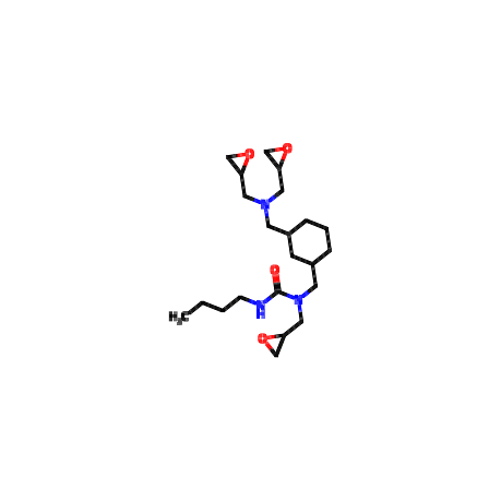 CCCCNC(=O)N(CC1CCCC(CN(CC2CO2)CC2CO2)C1)CC1CO1